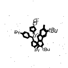 Cc1cc2c(cc1C(C)(C)C)-c1cc(C(C)(C)C)c(C)cc1[CH]2[Zr+2]([C]1=CC=CC1)=[C](c1ccc(C(C)C)cc1)c1ccc(C(C)C)cc1.[Cl-].[Cl-]